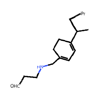 CC(C)CC(C)C1=CC=C(CNCCC=O)CC1